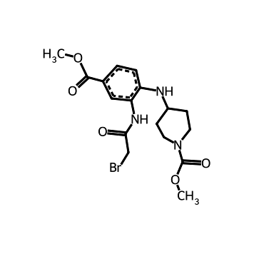 COC(=O)c1ccc(NC2CCN(C(=O)OC)CC2)c(NC(=O)CBr)c1